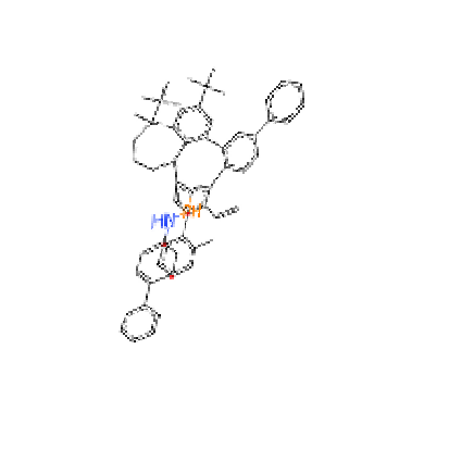 C=Cc1c(-c2ccccc2C)cc2c(PNC3=CC=C(c4ccccc4)CC3)c1-c1ccc(-c3ccccc3)cc1-c1cc(C(C)(C)C)cc3c1C2CCCC3(C)C(C)(C)C